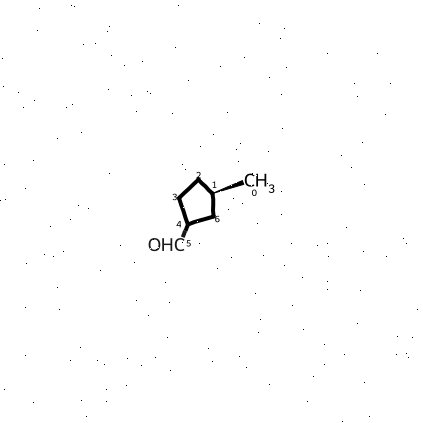 C[C@@H]1CCC(C=O)C1